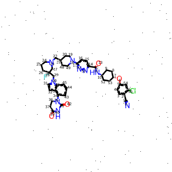 N#Cc1ccc(O[C@H]2CC[C@H](NC(=O)c3ccc(N4CCC(CN5CCC[C@@](F)(Cn6ccc7c(N8CCC(=O)NC8=O)cccc76)C5)CC4)nn3)CC2)cc1Cl